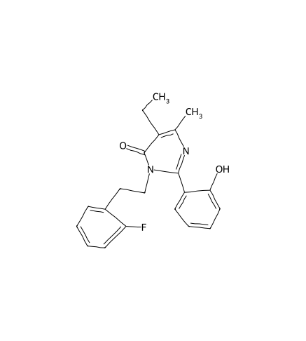 CCc1c(C)nc(-c2ccccc2O)n(CCc2ccccc2F)c1=O